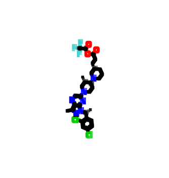 Cc1nn([C@H](C)c2ccc(Cl)cc2Cl)c2nc(N3CC[C@@H](N4CCC[C@@H](CCC(=O)OC(=O)C(F)(F)F)C4)[C@@H](C)C3)cnc12